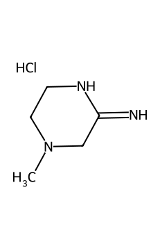 CN1CCNC(=N)C1.Cl